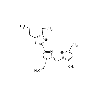 CCCc1cc(C2=N/C(=C\c3[nH]c(C)cc3C)C(OC)=C2)[nH]c1CC